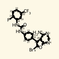 Nc1ncnc2oc(Br)c(-c3ccc(NC(=O)Nc4cc(C(F)(F)F)ccc4F)cc3)c12